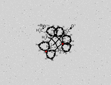 C=O.C=O.CC(C(P)(c1ccccc1)c1ccccc1)(C(P)(c1ccccc1)c1ccccc1)C(P)(c1ccccc1)c1ccccc1.[Ru]